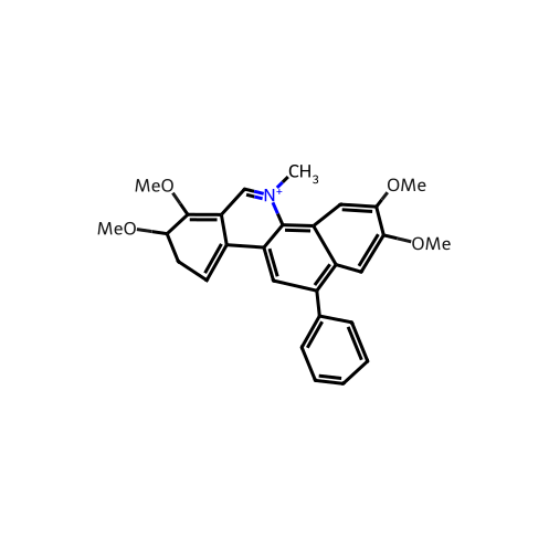 COC1=c2c[n+](C)c3c(cc(-c4ccccc4)c4cc(OC)c(OC)cc43)c2=CCC1OC